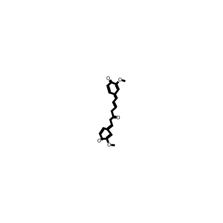 COC1=CC(=CC=CCC(=O)CC=C2C=CC(=O)C(OC)=C2)C=CC1=O